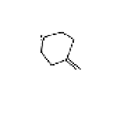 [CH]=C1CCSCC1